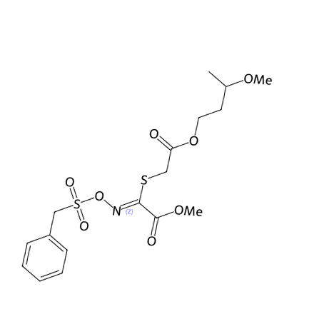 COC(=O)/C(=N/OS(=O)(=O)Cc1ccccc1)SCC(=O)OCCC(C)OC